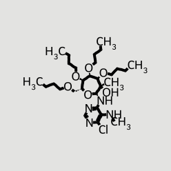 CCCCOC[C@H]1O[C@@H](Nc2ncnc(Cl)c2NC)[C@@](C)(O)[C@H](OCCCC)[C@@H](OCCCC)[C@@H]1OCCCC